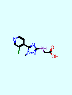 Cn1nc(PCC(=O)O)nc1-c1ccncc1F